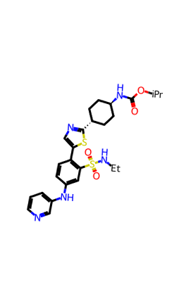 CCNS(=O)(=O)c1cc(Nc2cccnc2)ccc1-c1cnc([C@H]2CC[C@H](NC(=O)OC(C)C)CC2)s1